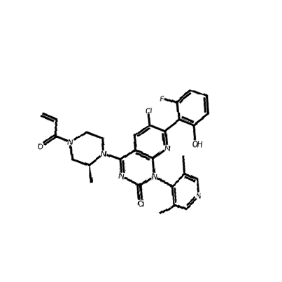 C=CC(=O)N1CCN(c2nc(=O)n(-c3c(C)cncc3C)c3nc(-c4c(O)cccc4F)c(Cl)cc23)[C@@H](C)C1